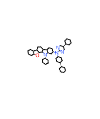 c1ccc(-c2ccc(N(c3ccc4c5ccc6c7ccccc7oc6c5n(-c5ccccc5)c4c3)c3ncc(-c4ccccc4)cn3)cc2)cc1